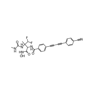 CNC(=O)NC(C)(C(F)F)C(NC(=O)c1ccc(C#CC#Cc2ccc(C#N)cc2)cc1)C(=O)NO